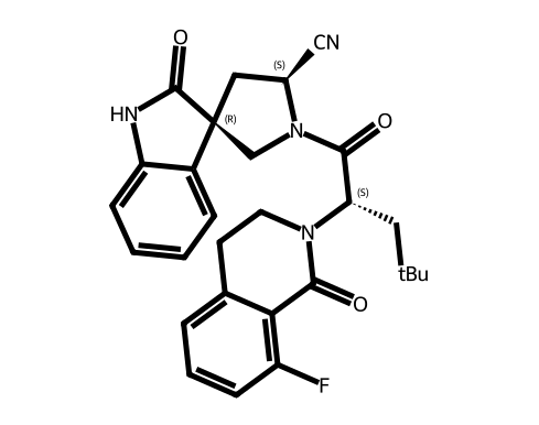 CC(C)(C)C[C@@H](C(=O)N1C[C@]2(C[C@H]1C#N)C(=O)Nc1ccccc12)N1CCc2cccc(F)c2C1=O